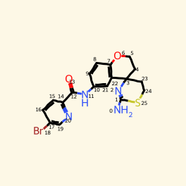 NC1=NC2(CCOc3ccc(NC(=O)c4ccc(Br)cn4)cc32)CCS1